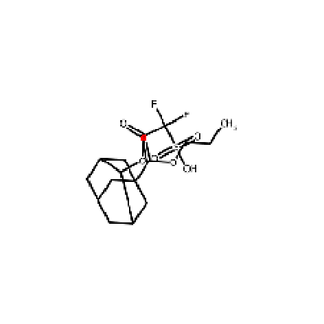 CCCOC(=O)C12CC3CC(C1)C(OC(=O)C(F)(F)S(=O)(=O)O)C(C3)C2